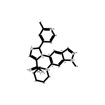 Cc1cc(C2OC=C(C(N)=O)N2c2cc3cnn(C)c3cc2N2CCCCC2)ccn1